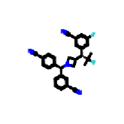 CC(C)(F)[C@@H](c1cc(F)cc(C#N)c1)C1CN([C@H](c2ccc(C#N)cc2)c2cccc(C#N)c2)C1